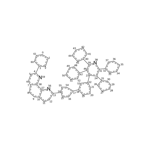 c1ccc(-c2ccc3ccc4ccc(-c5ccc(-c6cccc(-c7c(-c8ccccc8)c(-c8ccccc8)nc(-c8ccccc8)c7-c7ccccc7)c6)cc5)nc4c3n2)cc1